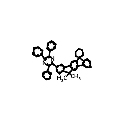 CC1(C)c2ccc(-c3nc(-c4ccccc4)c(-c4ccccc4)nc3-c3ccccc3)cc2-c2cc3c(cc21)-c1ccccc1C31CCCCC1